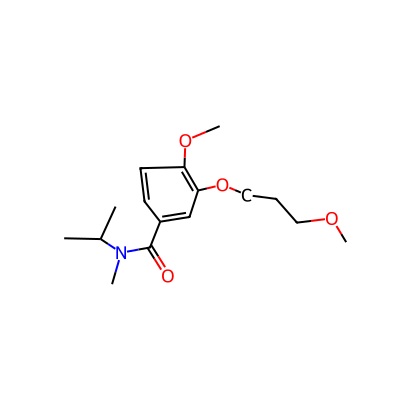 COCCCOc1cc(C(=O)N(C)C(C)C)ccc1OC